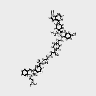 CN(C)CCOc1ccccc1Cn1cnc2ccc(C(=O)NCCOCCC(=O)N3CCN(CC[C@H](NC(=O)C4(N)CCN(c5ncnc6[nH]ccc56)CC4)c4ccc(Cl)cc4)CC3)nc21